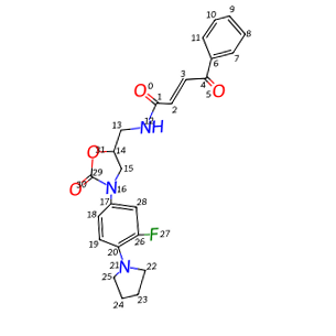 O=C(C=CC(=O)c1ccccc1)NCC1CN(c2ccc(N3CCCC3)c(F)c2)C(=O)O1